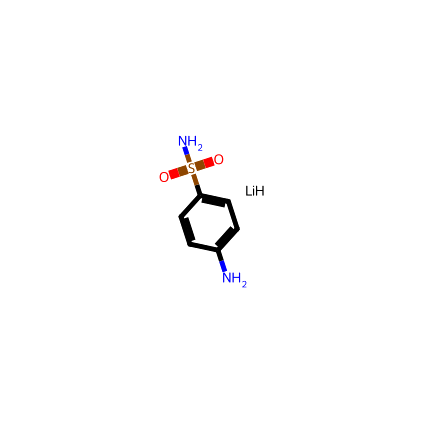 Nc1ccc(S(N)(=O)=O)cc1.[LiH]